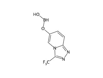 OBOc1ccc2nnc(C(F)(F)F)n2c1